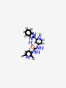 Cc1ccc(NC(=O)N[C@@H]2CCN(C)[C@@H](c3nc4ccccc4[nH]3)C2)c(C)n1